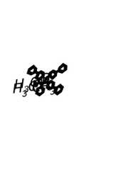 C[PH](C)(C)C/C(=C(\B(c1ccc(-c2ccccc2)cc1)c1ccc(-c2ccccc2)cc1)c1ccc(-c2ccccc2)cc1)C1CCCCC1